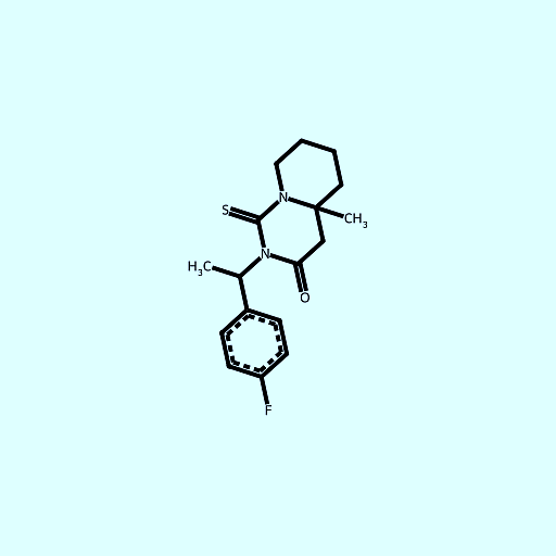 CC(c1ccc(F)cc1)N1C(=O)CC2(C)CCCCN2C1=S